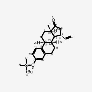 C=C[C@H]1CC(=O)[C@@]2(C)CC[C@@H]3c4ccc(O[Si](C)(C)C(C)(C)C)cc4CC[C@H]3[C@H]12